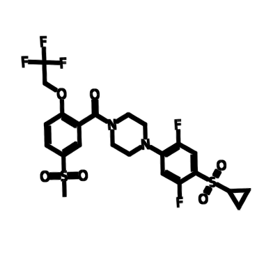 CS(=O)(=O)c1ccc(OCC(F)(F)F)c(C(=O)N2CCN(c3cc(F)c(S(=O)(=O)C4CC4)cc3F)CC2)c1